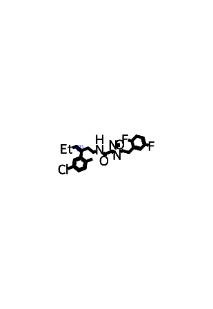 CC/C=C(/CCNC(=O)c1noc(CC2=CC(F)=CCC2F)n1)c1cc(Cl)ccc1C